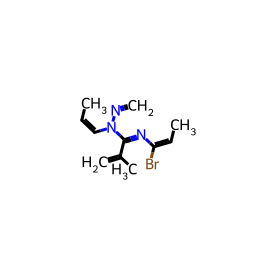 C=NN(/C=C\C)/C(=N/C(Br)=C\C)C(=C)C